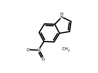 C.O=[N+]([O-])c1ccc2[nH]ccc2c1